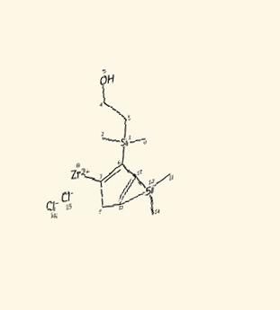 C[Si](C)(CCO)C1=[C]([Zr+2])CC2=C1[Si]2(C)C.[Cl-].[Cl-]